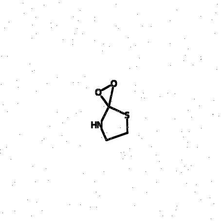 C1CSC2(N1)OO2